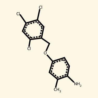 Cc1cc(OCc2cc(Cl)c(Cl)cc2Cl)ccc1N